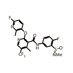 CN[S+]([O-])c1cc(NC(=O)c2c(Oc3ccc(F)nc3C)ncc(C(F)(F)F)c2C)ccc1F